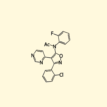 CC(=O)N(c1ccccc1F)c1onc(-c2ccccc2Cl)c1-c1ccncn1